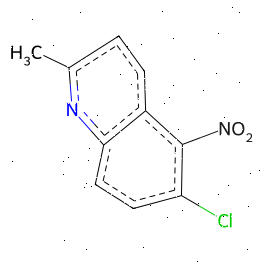 Cc1ccc2c([N+](=O)[O-])c(Cl)ccc2n1